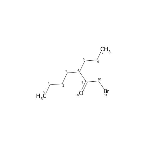 CCCCC(CCC)C(=O)CBr